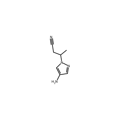 CC(CC#N)n1cc(N)cn1